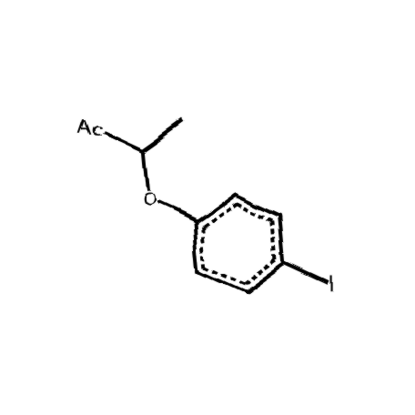 CC(=O)C(C)Oc1ccc(I)cc1